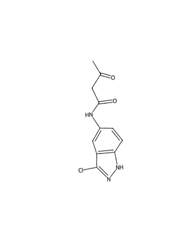 CC(=O)CC(=O)Nc1ccc2[nH]nc(Cl)c2c1